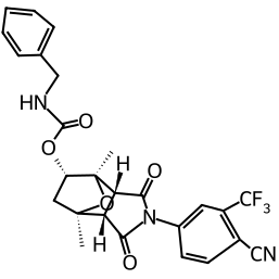 C[C@]12O[C@](C)(C[C@@H]1OC(=O)NCc1ccccc1)[C@H]1C(=O)N(c3ccc(C#N)c(C(F)(F)F)c3)C(=O)[C@H]12